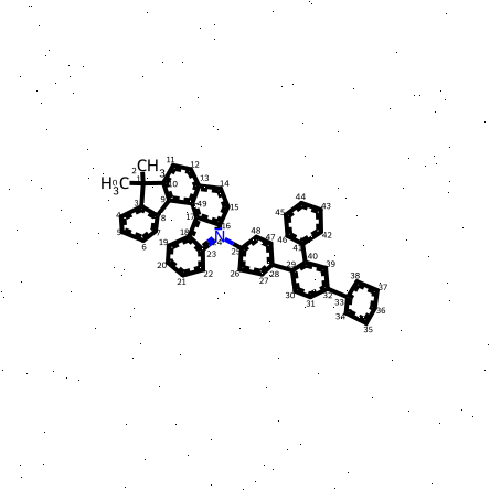 CC1(C)c2ccccc2-c2c1ccc1ccc3c(c4ccccc4n3-c3ccc(-c4ccc(-c5ccccc5)cc4-c4ccccc4)cc3)c21